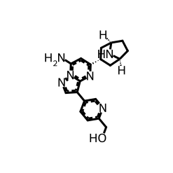 Nc1cc([C@@H]2C[C@H]3CC[C@@H](C2)N3)nc2c(-c3ccc(CO)nc3)cnn12